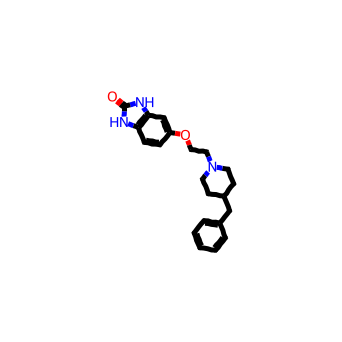 O=c1[nH]c2ccc(OCCN3CCC(Cc4ccccc4)CC3)cc2[nH]1